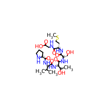 CSCC[C@H](NC(=O)[C@H](CO)NC(=O)[C@@H](NC(=O)[C@@H](NC(=O)[C@@H]1CCCN1)C(C)C)[C@@H](C)O)C(=O)NCC(=O)O